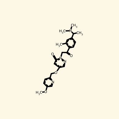 COc1ccc(COc2cnn(CC(=O)c3ccc(C(C)N(C)C)cc3C)c(=O)c2)nc1